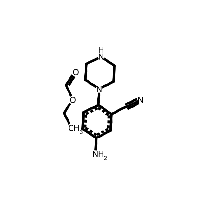 CCOC=O.N#Cc1cc(N)ccc1N1CCNCC1